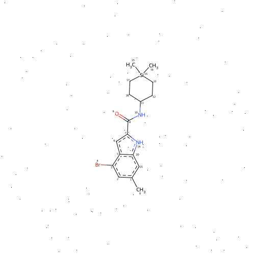 Cc1cc(Br)c2cc(C(=O)NC3CC[Si](C)(C)CC3)[nH]c2c1